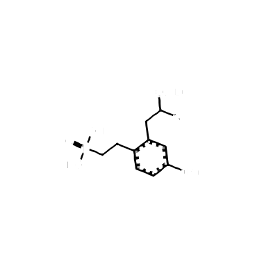 CCOC(=O)C(N)Cc1cc(C(C)(C)C)ccc1CCP(=O)(O)O